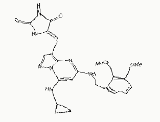 COc1cccc(CNc2cc(NC3CC3)n3ncc(/C=C4\NC(=O)NC4=O)c3n2)c1OC